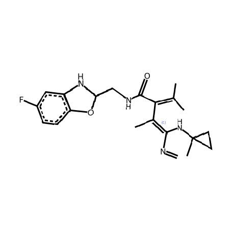 C=N/C(NC1(C)CC1)=C(\C)C(C(=O)NCC1Nc2cc(F)ccc2O1)=C(C)C